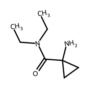 CCN(CC)C(=O)C1(N)CC1